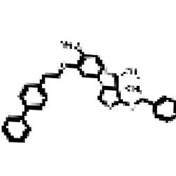 COc1ccc([C@@H]2C[N]C(OCc3ccccc3)[C@]2(C)[C@@H](C)O)cc1OCCc1ccc(-c2ccccc2)cc1